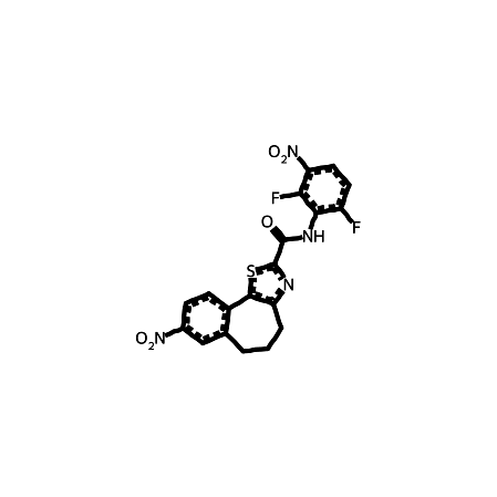 O=C(Nc1c(F)ccc([N+](=O)[O-])c1F)c1nc2c(s1)-c1ccc([N+](=O)[O-])cc1CCC2